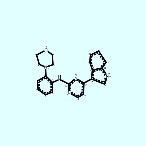 c1ccc(N2CCOCC2)c(Nc2nccc(-c3c[nH]c4ccccc34)n2)c1